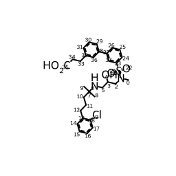 CN(CC(O)CNC(C)(C)CCCc1ccccc1Cl)S(=O)(=O)c1cccc(-c2cccc(CCC(=O)O)c2)c1